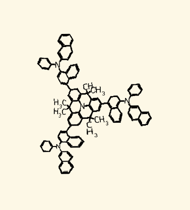 CC1(C)C2=CC(c3ccc(N(C4=CC=CCC4)c4ccc5ccccc5c4)c4ccccc34)CC3=C2N2C4=C(CC(c5ccc(N(c6ccccc6)c6ccc7ccccc7c6)c6ccccc56)C=C41)C(C)(C)c1cc(C4=c5ccccc5=C(N(c5ccccc5)c5ccc6ccccc6c5)CC4)cc(c12)C3(C)C